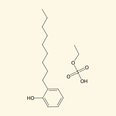 CCCCCCCCCc1ccccc1O.CCOS(=O)(=O)O